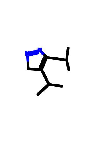 CC(C)C1=C(C(C)C)N=NC1